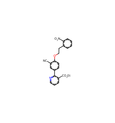 CCOC(=O)c1cccnc1-c1ccc(OCCc2ccccc2[N+](=O)[O-])c(C#N)c1